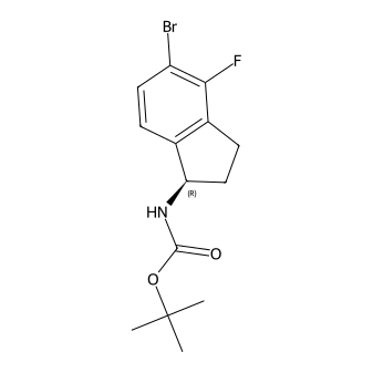 CC(C)(C)OC(=O)N[C@@H]1CCc2c1ccc(Br)c2F